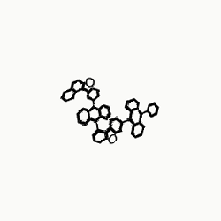 c1ccc(-c2c3ccccc3c(-c3ccc4c(c3)oc3cccc(-c5c6ccccc6c(-c6ccc7oc8ccc9ccccc9c8c7c6)c6ccccc56)c34)c3ccccc23)cc1